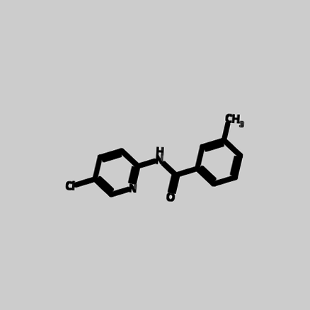 Cc1cccc(C(=O)Nc2ccc(Cl)cn2)c1